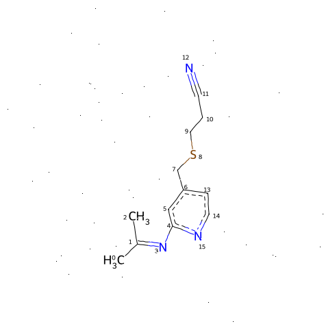 CC(C)=Nc1cc(CSCCC#N)ccn1